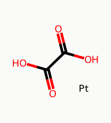 O=C(O)C(=O)O.[Pt]